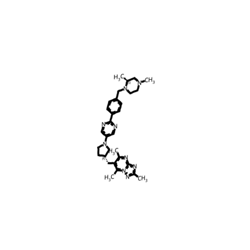 Cc1nc2nc(C)c(C[C@@H]3CCN(c4cnc(-c5ccc(CN6CCN(C)C[C@@H]6C)cc5)nc4)C3)c(C)n2n1